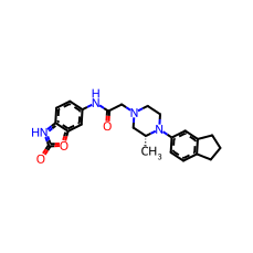 C[C@@H]1CN(CC(=O)Nc2ccc3[nH]c(=O)oc3c2)CCN1c1ccc2c(c1)CCC2